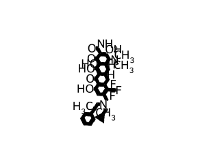 CN(C)[C@@H]1C(O)=C(C(N)=O)C(=O)[C@@]2(O)C(O)=C3C(=O)c4c(O)cc(CN(CC5CC5)CC(C)(C)c5ccccc5)c(C(F)(F)F)c4C[C@H]3C[C@@H]12